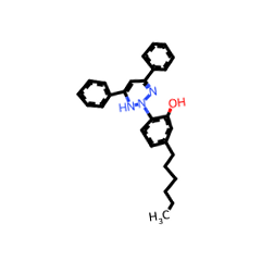 CCCCCCc1ccc(N2N=C(c3ccccc3)C=C(c3ccccc3)N2)c(O)c1